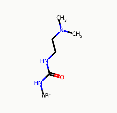 CCCNC(=O)NCCN(C)C